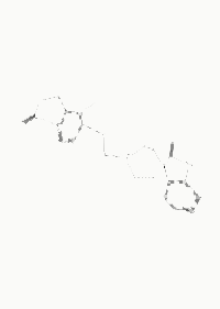 Cc1c(C(O)CN2CCC3(CC2)C(=O)Nc2ccccc23)ccc2c1COC2=O